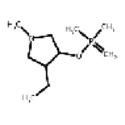 C=P(C)(C)OC1CN(C)CC1CC